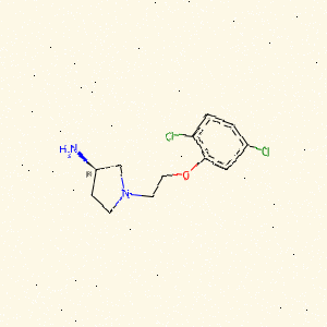 N[C@@H]1CCN(CCOc2cc(Cl)ccc2Cl)C1